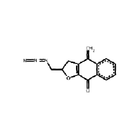 C=C1C2=C(OC(CN=[N+]=[N-])C2)C(=O)c2ccccc21